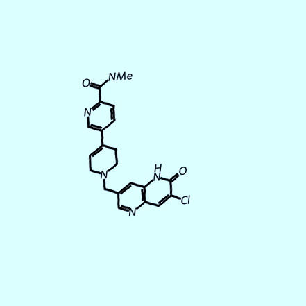 CNC(=O)c1ccc(C2=CCN(Cc3cnc4cc(Cl)c(=O)[nH]c4c3)CC2)cn1